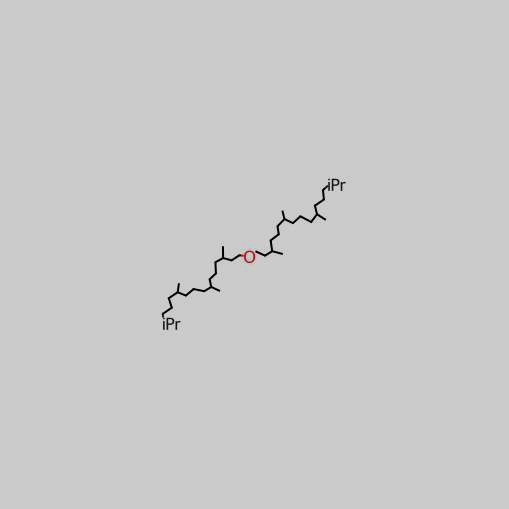 CC(C)CCCC(C)CCCC(C)CCCC(C)CCOCCC(C)CCCC(C)CCCC(C)CCCC(C)C